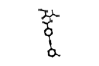 C[C@@H](O)[C@H](NC(=O)c1ccc(C#Cc2cccc(F)c2)cc1)C(=O)NO